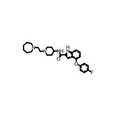 O=C(NC1CCN(CCN2CCCCCC2)CC1)c1cc2c(Oc3ccc(F)cc3)cccc2[nH]1